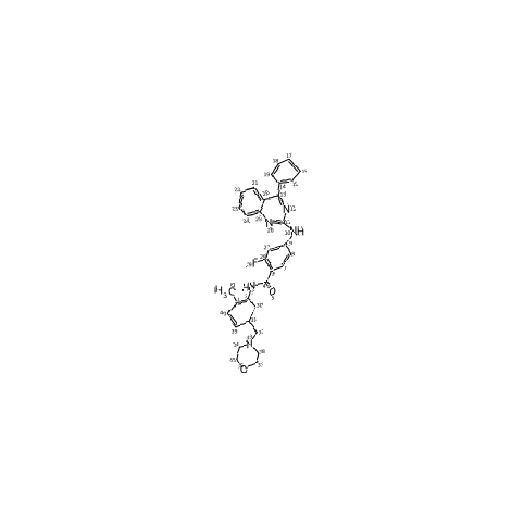 CC1=C(NC(=O)c2ccc(Nc3nc(-c4ccccc4)c4ccccc4n3)cc2F)CC(CN2CCOCC2)C=C1